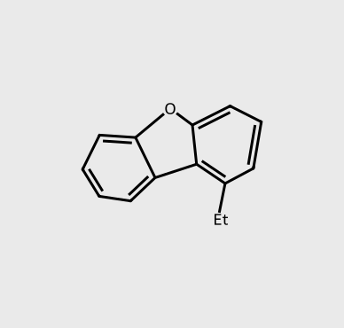 CCc1cccc2oc3ccccc3c12